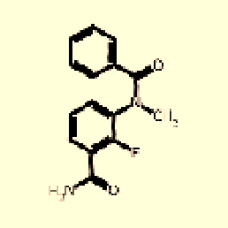 CN(C(=O)c1ccccc1)c1cccc(C(N)=O)c1F